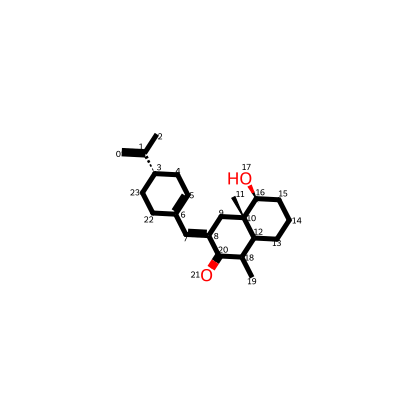 C=C(C)[C@@H]1CC=C(/C=C2\C[C@@]3(C)C(CCC[C@@H]3O)C(C)C2=O)CC1